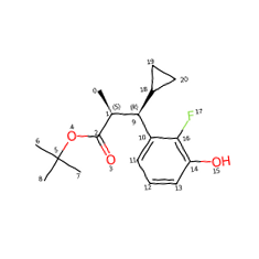 C[C@H](C(=O)OC(C)(C)C)[C@H](c1cccc(O)c1F)C1CC1